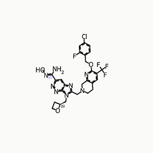 N/C(=N\O)c1cc2nc(CN3CCc4cc(C(F)(F)F)c(OCc5ccc(Cl)cc5F)nc4C3)n(C[C@@H]3CCO3)c2nn1